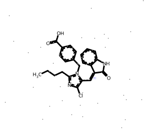 CCCCc1nc(Cl)c(/C=C2/C(=O)Nc3ccccc32)n1Cc1ccc(C(=O)O)cc1